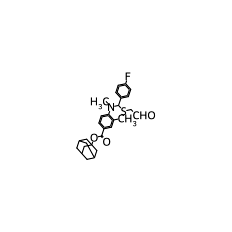 Cc1cc(C(=O)OC23CC4CC(CC(C4)C2)C3)ccc1N(C)C(SCC=O)c1ccc(F)cc1